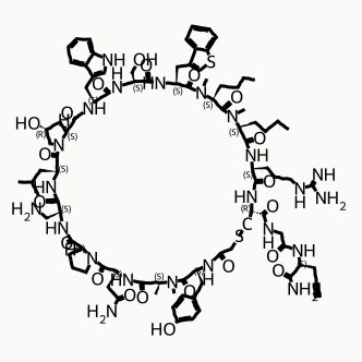 C#CC[C@H](NC(=O)CNC(=O)[C@@H]1CSCC(=O)N[C@@H](Cc2ccc(O)cc2)C(=O)N(C)[C@@H](C)C(=O)N[C@@H](CC(N)=O)C(=O)N2CCC[C@H]2C(=O)N[C@@H](CN)C(=O)N[C@@H](CC(C)C)C(=O)N2C[C@H](O)C[C@H]2C(=O)N[C@@H](Cc2c[nH]c3ccccc23)C(=O)N[C@@H](CO)C(=O)N[C@@H](Cc2csc3ccccc23)C(=O)N(C)[C@@H](CCCC)C(=O)N(C)[C@@H](CCCC)C(=O)N[C@@H](CCCNC(=N)N)C(=O)N1)C(N)=O